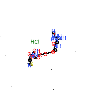 Cc1ncsc1-c1ccc(CNC(=O)C2CC(O)CN2C(=O)[C@@H](NC(=O)COCCCOCCCCCOc2cccc(CNC(=O)c3cccc(NC4(c5nnc(-c6ccncc6)[nH]5)CCNCC4)c3)c2)C(C)(C)C)cc1.Cl